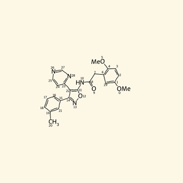 COc1ccc(OC)c(CC(=O)Nc2onc(-c3cccc(C)c3)c2-c2ccncn2)c1